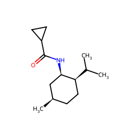 CC(C)[C@H]1CC[C@@H](C)C[C@H]1NC(=O)C1CC1